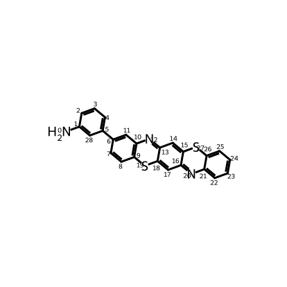 Nc1cccc(-c2ccc3c(c2)N=c2cc4c(cc2S3)=Nc2ccccc2S4)c1